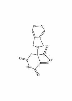 O=C1CC(N2Cc3ccccc3C2)([N+](=O)[O-])C(=O)C(=O)N1